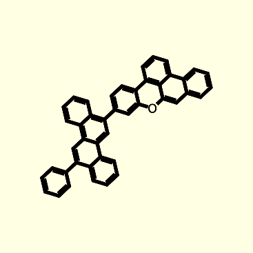 c1ccc(-c2cc3c4ccccc4c(-c4ccc5c(c4)Oc4cc6ccccc6c6cccc-5c46)cc3c3ccccc23)cc1